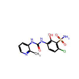 Cc1ncccc1NC(=O)Nc1ccc(Cl)c(S(N)(=O)=O)c1O